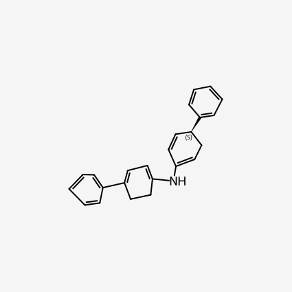 C1=C[C@@H](c2ccccc2)CC=C1NC1=CC=C(c2ccccc2)CC1